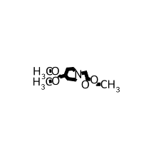 CCOC(=O)CN1CCC(C(OC)OC)CC1